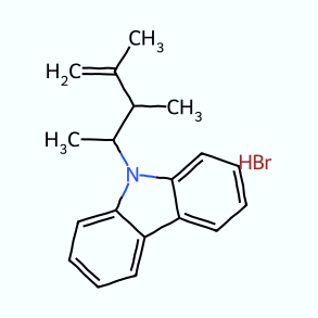 Br.C=C(C)C(C)C(C)n1c2ccccc2c2ccccc21